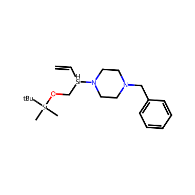 C=C[SiH](CO[Si](C)(C)C(C)(C)C)N1CCN(Cc2ccccc2)CC1